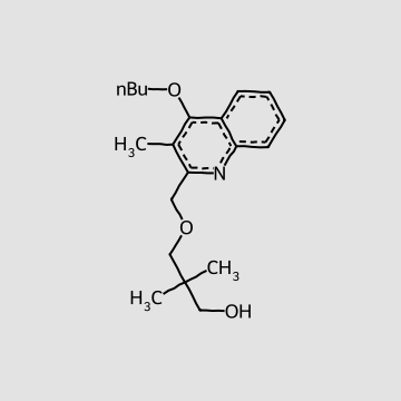 CCCCOc1c(C)c(COCC(C)(C)CO)nc2ccccc12